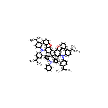 CC(C)c1ccc(N(c2ccc(C(C)C)cc2)c2cc3c(c4oc5ccccc5c24)-c2c(cc(N(c4ccc(C(C)C)cc4)c4ccc(C(C)C)cc4)c4c2oc2ccccc24)C32c3ccccc3N(c3ccccc3)c3ccccc32)cc1